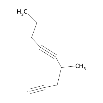 [C]#CCC(C)C#CCCC